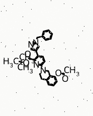 CC(=O)Oc1cccc2c1CN(c1ccc(-c3cnn(Cc4ccccc4)c3)c(C(=O)OC(C)(C)C)n1)CC2